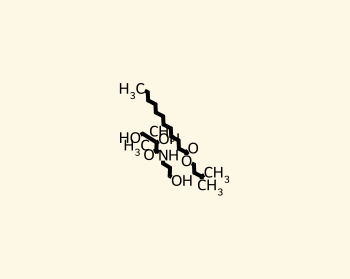 CC(C)(CO)C(O)C(=O)NCCCO.CCCCCCCCCCCC(=O)OCCC(C)C